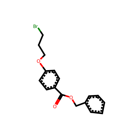 O=C(OCc1ccccc1)c1ccc(OCCCBr)cc1